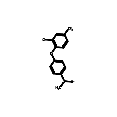 C[S+]([O-])c1ccc(Oc2ccc(C(F)(F)F)cc2Cl)cc1